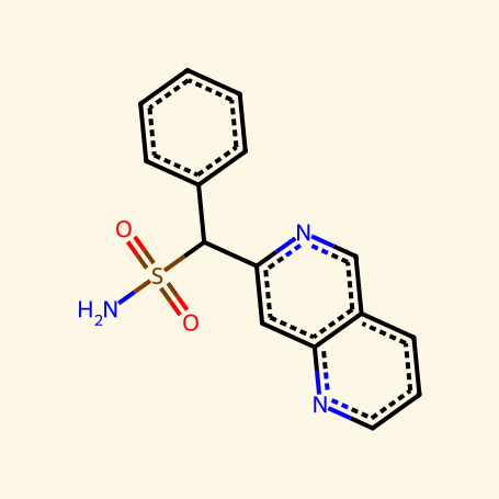 NS(=O)(=O)C(c1ccccc1)c1cc2ncccc2cn1